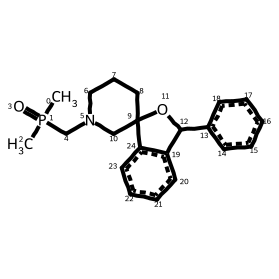 CP(C)(=O)CN1CCCC2(C1)OC(c1ccccc1)c1ccccc12